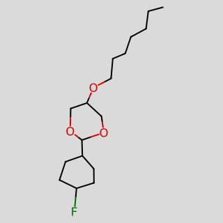 CCCCCCCOC1COC(C2CCC(F)CC2)OC1